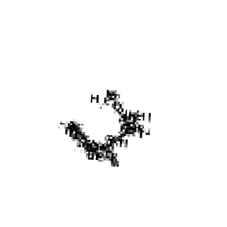 CC1=C(c2ccc(CNC(=O)[C@@H]3C[C@@H](O)CN3C(=O)[C@@H](NC(=O)CCCCNC(=O)CCN(C(=O)[C@@H]3CCCN3C(=O)[C@@H](NC(=O)c3cc4cc(C(F)(F)P(=O)(O)O)ccc4s3)C(C)(C)C)c3ccc(Br)cc3)C(C)(C)C)cc2)CC=N1